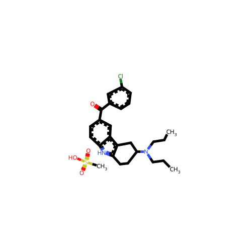 CCCN(CCC)C1CCc2[nH]c3ccc(C(=O)c4cccc(Cl)c4)cc3c2C1.CS(=O)(=O)O